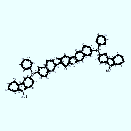 CCn1c2ccccc2c2cc(N(c3ccccc3)c3ccc4cc5c(cc4c3)oc3cc4c(cc35)oc3cc5cc(N(c6ccccc6)c6ccc7c(c6)c6ccccc6n7CC)ccc5cc34)ccc21